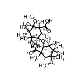 CO[C@]1(C)CC(C)(C(=O)O)[C@@](C)(O[C@]2(C)CC(C)(C(=O)O)[C@@](C)(OC)[C@](C)(O)C2(C)O)[C@@](C)(O)C1(C)O